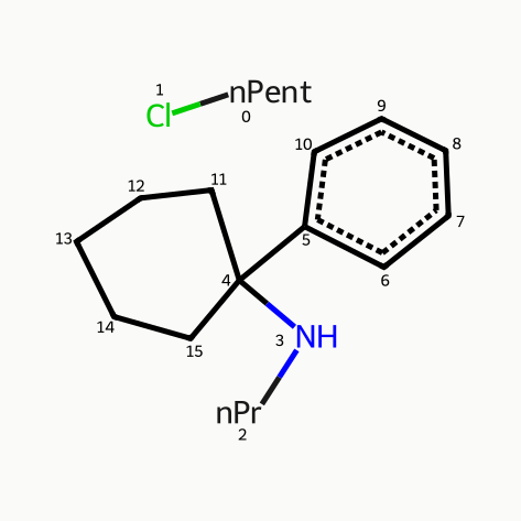 CCCCCCl.CCCNC1(c2ccccc2)CCCCC1